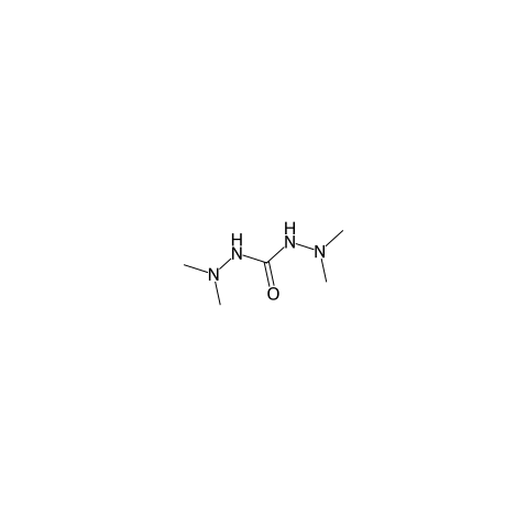 CN(C)NC(=O)NN(C)C